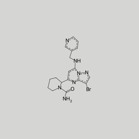 NC(=O)N1CCCCC1c1cc(NCc2cccnc2)n2ncc(Br)c2n1